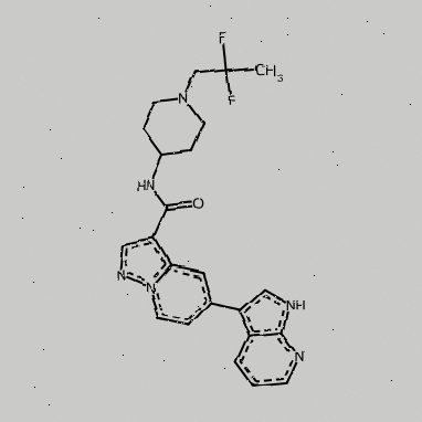 CC(F)(F)CN1CCC(NC(=O)c2cnn3ccc(-c4c[nH]c5ncccc45)cc23)CC1